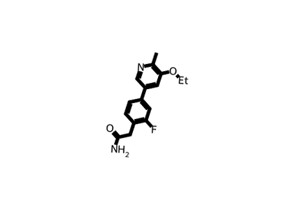 CCOc1cc(-c2ccc(CC(N)=O)c(F)c2)cnc1C